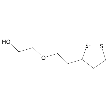 OCCOCCC1CCSS1